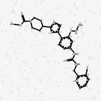 CC(C)OC(=O)N1CCC(c2ncc(-c3ccc(NC(=O)NCc4ncccc4F)cc3SNC(C)(C)C)s2)CC1